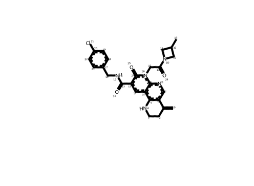 C=C1CCNc2c1cnc1c2cc(C(=O)NCc2ccc(Cl)cc2)c(=O)n1CC(=O)N1CC(C)C1